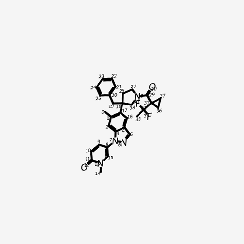 Cc1cc2c(cnn2-c2ccc(=O)n(C)c2)cc1C1(Cc2ccccc2)CCN(C(=O)C2(C(C)(F)F)CC2)C1